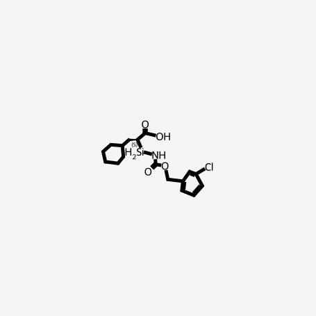 O=C(N[SiH2][C@@H](CC1CCCCC1)C(=O)O)OCc1cccc(Cl)c1